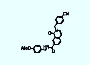 COc1ccc(CNC(=O)c2ccc3ccn(Cc4ccc(C#N)cc4)c(=O)c3c2)cc1